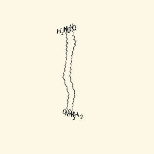 NC(=O)CCCCCCCCCCCCCCCCCCCCCCCCCCCCCCCCCCCCC(N)=O.NC(=O)CCCCCCCCCCCCCCCCCCCCCCCCCCCCCCCCCCCCC(N)=O